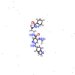 CC(C)Nc1cc(Nc2ccc3ncsc3c2)ncc1C(=O)NCC[C@@H](C)NC(=O)c1ccccc1